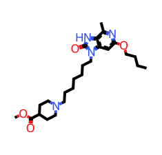 CCCCOc1cc2c([nH]c(=O)n2CCCCCCCN2CCC(C(=O)OC)CC2)c(C)n1